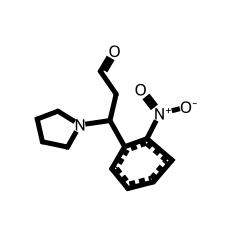 O=CCC(c1ccccc1[N+](=O)[O-])N1CCCC1